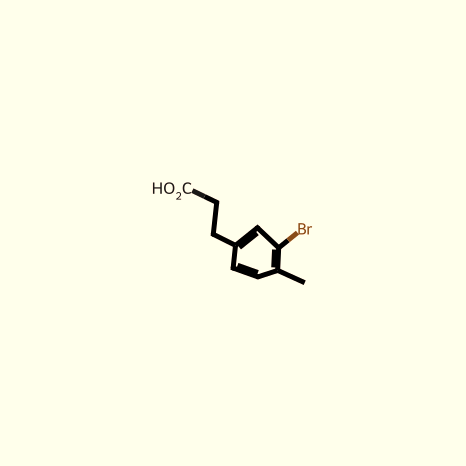 Cc1ccc(CCC(=O)O)cc1Br